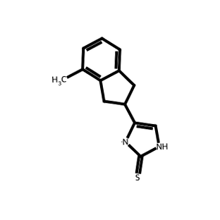 Cc1cccc2c1CC(C1=CNC(=S)[N]1)C2